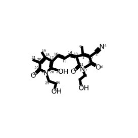 CC1=C(C#N)C(=O)N(CCO)C(=O)C1=CC=Cc1c(C)c(C)c(=O)n(CCO)c1O